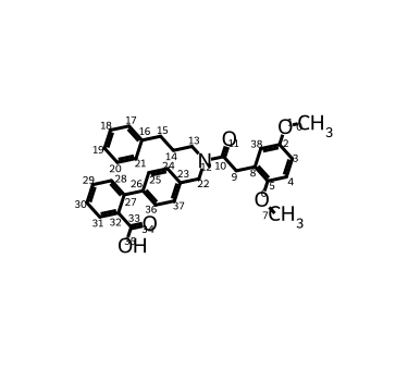 COc1ccc(OC)c(CC(=O)N(CCCc2ccccc2)Cc2ccc(-c3ccccc3C(=O)O)cc2)c1